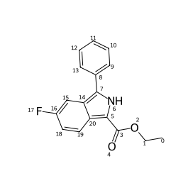 CCOC(=O)c1[nH]c(-c2ccccc2)c2cc(F)ccc12